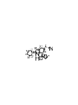 N#CCc1cc([N+](=O)[O-])c2[nH]c(-c3ccccc3)cc2c1